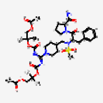 CC(=O)OCC(C)(C)OC(=O)N=C(NC(=O)OC(C)(C)COC(C)=O)N1CCC(CN([C@H](Cc2ccccc2)C(=O)N2CCC[C@H]2C(N)=O)S(C)(=O)=O)CC1